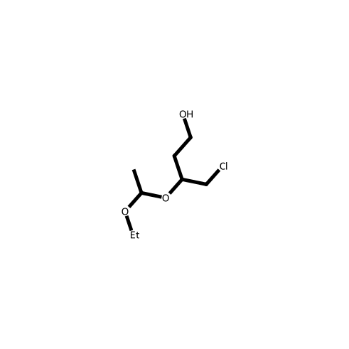 CCOC(C)OC(CCl)CCO